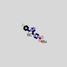 C[C@H](c1ccc(F)cc1)n1cncc1C(C#N)N1CCN(C(=O)OC(C)(C)C)CC1